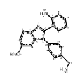 COc1ccc2nc(-c3cccnc3N)n(-c3ccc(CN)cc3)c2c1